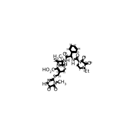 CCN1CCN(C(=O)NC(C(=O)N[C@]2(C)C(=S)N3C(C(=O)O)=C(CSc4n[nH]c(=O)c(=O)n4C)CS[C@H]32)c2ccccc2)C(=O)C1=O